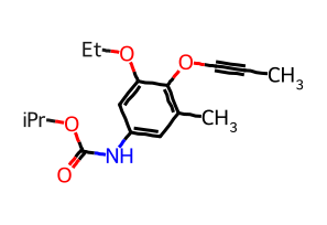 CC#COc1c(C)cc(NC(=O)OC(C)C)cc1OCC